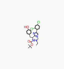 CCCCn1cc(-c2ccc(Cl)cc2Cl)nc1C(Cc1ccc(O)cc1)NC(=O)OC(C)(C)C